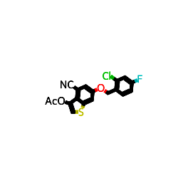 CC(=O)Oc1csc2cc(OCc3ccc(F)cc3Cl)cc(C#N)c12